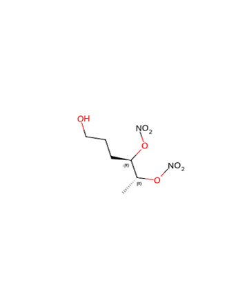 C[C@@H](O[N+](=O)[O-])[C@@H](CCCO)O[N+](=O)[O-]